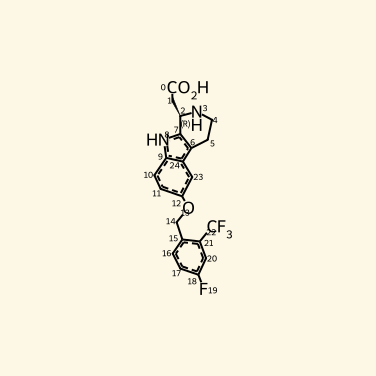 O=C(O)C[C@H]1NCCc2c1[nH]c1ccc(OCc3ccc(F)cc3C(F)(F)F)cc21